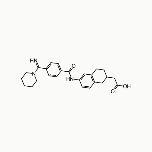 N=C(c1ccc(C(=O)Nc2ccc3c(c2)CCC(CC(=O)O)C3)cc1)N1CCCCC1